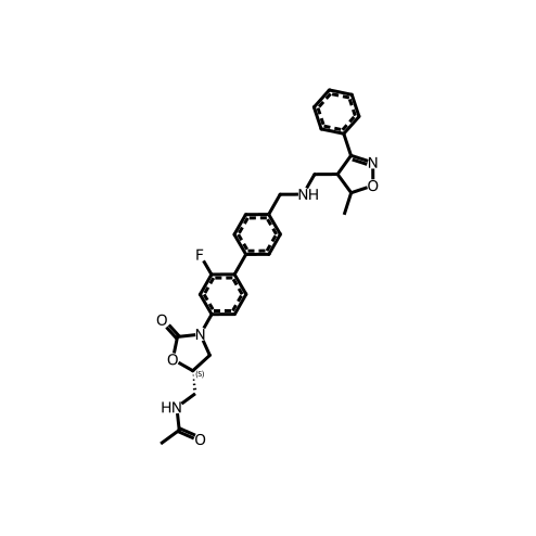 CC(=O)NC[C@H]1CN(c2ccc(-c3ccc(CNCC4C(c5ccccc5)=NOC4C)cc3)c(F)c2)C(=O)O1